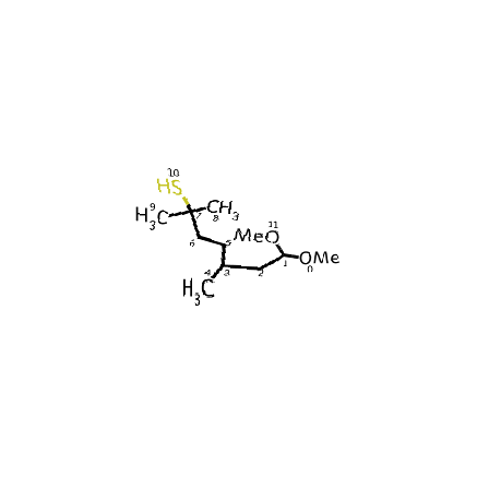 COC(CC(C)CCC(C)(C)S)OC